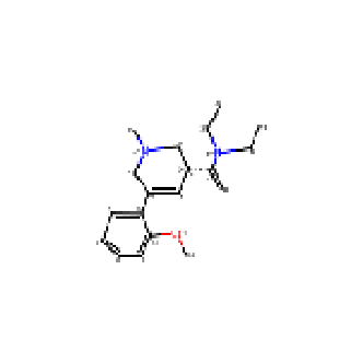 C=C([C@@H]1C=C(c2ccccc2OC)CN(C)C1)N(CC)CC